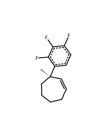 C[C@]1(c2ccc(F)c(F)c2F)C=CCCCC1